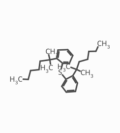 CCCCCC(C)(C)c1ccccc1Sc1ccccc1C(C)(C)CCCCC